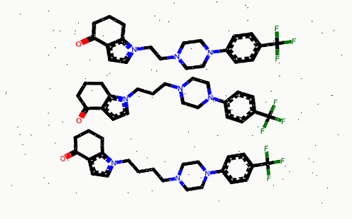 O=C1CCCc2c1ccn2CCCCN1CCN(c2ccc(C(F)(F)F)cc2)CC1.O=C1CCCc2c1ccn2CCCN1CCN(c2ccc(C(F)(F)F)cc2)CC1.O=C1CCCc2c1ccn2CCN1CCN(c2ccc(C(F)(F)F)cc2)CC1